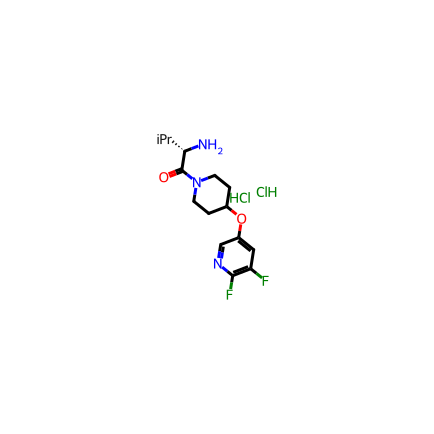 CC(C)[C@H](N)C(=O)N1CCC(Oc2cnc(F)c(F)c2)CC1.Cl.Cl